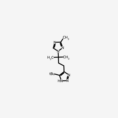 Cc1ncn(C(C)(C)CCc2nn[nH]c2C(C)(C)C)n1